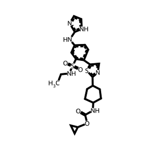 CCNS(=O)(=O)c1cc(Nc2ncc[nH]2)ccc1-c1cnc(C2CCC(NC(=O)OC3CC3)CC2)s1